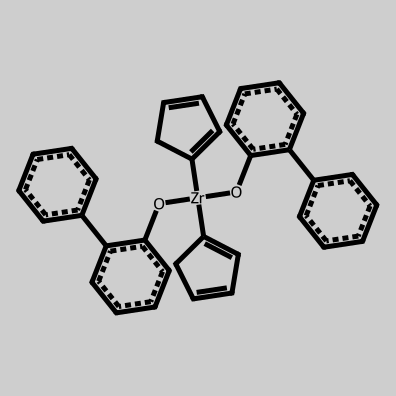 C1=CC[C]([Zr]([O]c2ccccc2-c2ccccc2)([O]c2ccccc2-c2ccccc2)[C]2=CC=CC2)=C1